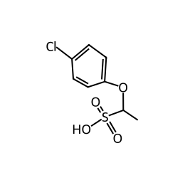 CC(Oc1ccc(Cl)cc1)S(=O)(=O)O